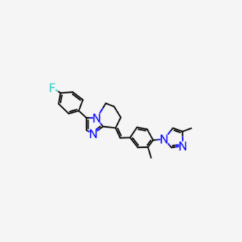 Cc1cn(-c2ccc(/C=C3\CCCn4c(-c5ccc(F)cc5)cnc43)cc2C)cn1